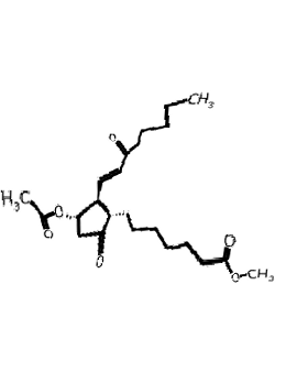 CCCCCC(=O)C=C[C@@H]1[C@@H](OC(C)=O)CC(=O)[C@H]1CCCCCCC(=O)OC